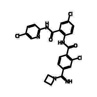 N=C(c1ccc(C(=O)Nc2ccc(Cl)cc2C(=O)Nc2ccc(Cl)cn2)c(Cl)c1)N1CCC1